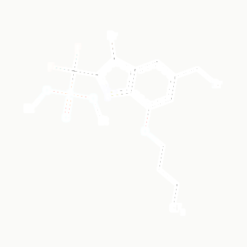 CCOP(=O)(OCC)C(F)(F)c1sc2c(OCCCC(F)(F)F)cc(CBr)cc2c1Br